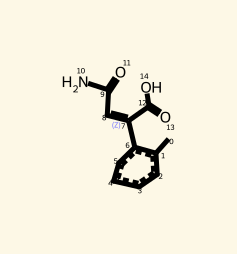 Cc1ccccc1/C(=C/C(N)=O)C(=O)O